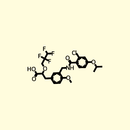 COc1ccc(CC(OCC(F)(F)C(F)F)C(=O)O)cc1CNC(=O)c1ccc(OC(C)C)cc1Cl